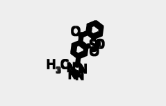 Cn1nnnc1-c1ccc2c(c1)S(=O)(=O)c1ccccc1C2=O